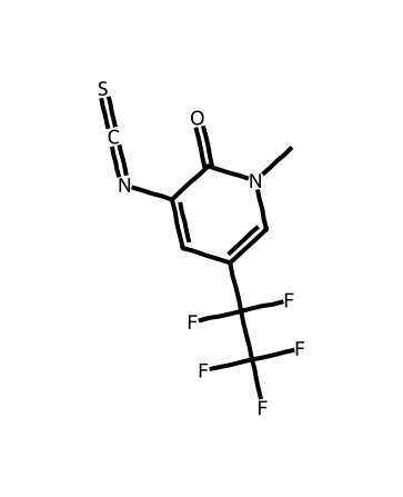 Cn1cc(C(F)(F)C(F)(F)F)cc(N=C=S)c1=O